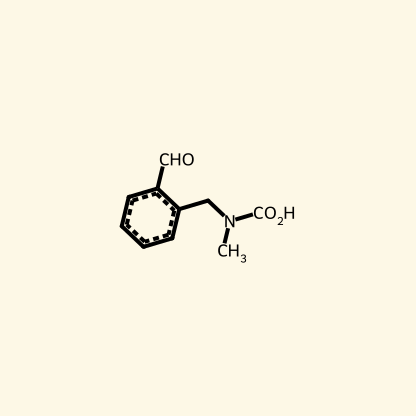 CN(Cc1ccccc1C=O)C(=O)O